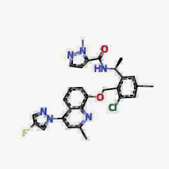 Cc1cc(Cl)c(COc2cccc3c(-n4cc(F)cn4)cc(C)nc23)c([C@H](C)NC(=O)c2ccnn2C)c1